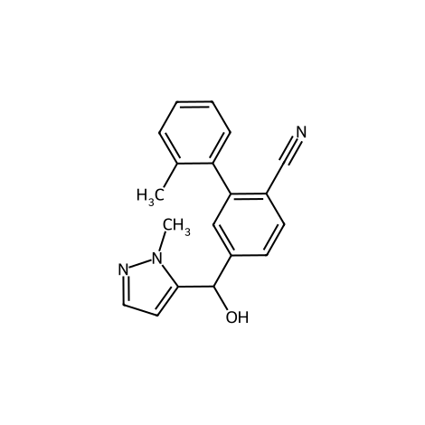 Cc1ccccc1-c1cc(C(O)c2ccnn2C)ccc1C#N